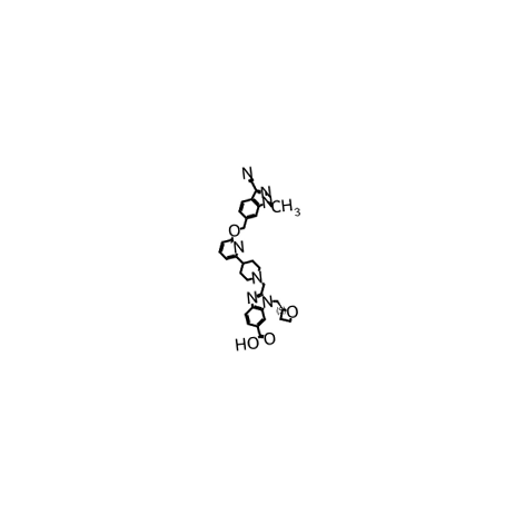 Cn1nc(C#N)c2ccc(COc3cccc(C4CCN(Cc5nc6ccc(C(=O)O)cc6n5C[C@@H]5CCO5)CC4)n3)cc21